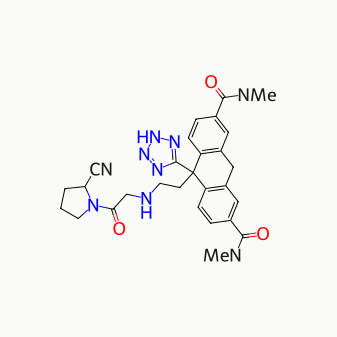 CNC(=O)c1ccc2c(c1)Cc1cc(C(=O)NC)ccc1C2(CCNCC(=O)N1CCCC1C#N)c1nn[nH]n1